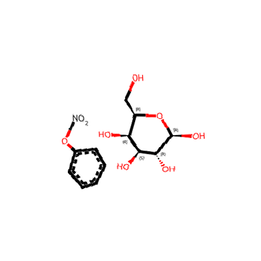 O=[N+]([O-])Oc1ccccc1.OC[C@H]1O[C@@H](O)[C@H](O)[C@@H](O)[C@H]1O